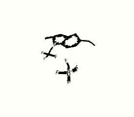 CCc1ccc2c(c1)cc(C)[s+]2C(F)(F)F.F[B-](F)(F)F